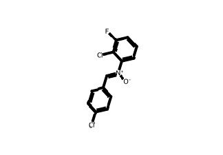 [O-][N+](=Cc1ccc(Cl)cc1)c1cccc(F)c1Cl